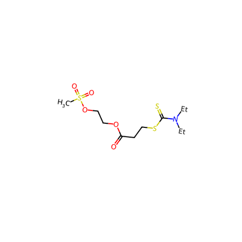 CCN(CC)C(=S)SCCC(=O)OCCOS(C)(=O)=O